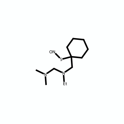 CCN(CN(C)C)CC1(SN=O)CCCCC1